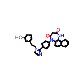 O=C1CC(=O)N(c2ccc(-c3nccn3CCc3cccc(O)c3)cc2)c2ccc3ccccc3c2N1